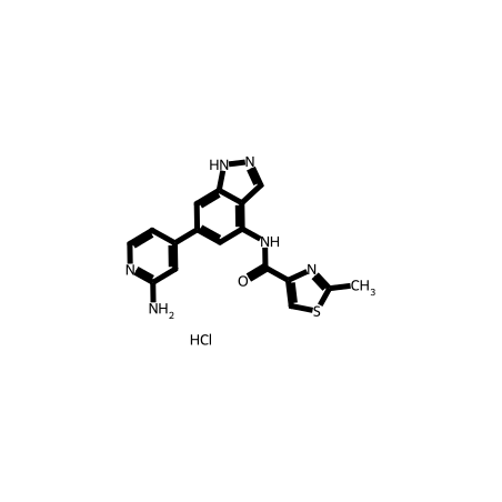 Cc1nc(C(=O)Nc2cc(-c3ccnc(N)c3)cc3[nH]ncc23)cs1.Cl